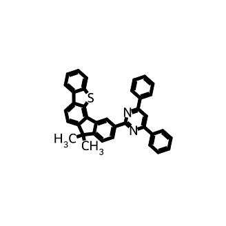 CC1(C)c2ccc(-c3nc(-c4ccccc4)cc(-c4ccccc4)n3)cc2-c2c1ccc1c2sc2ccccc21